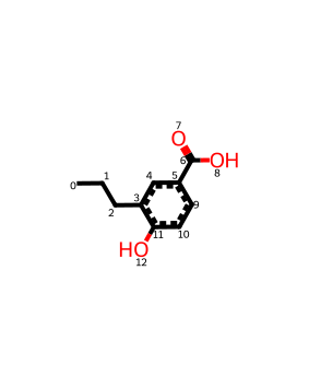 CCCc1cc(C(=O)O)ccc1O